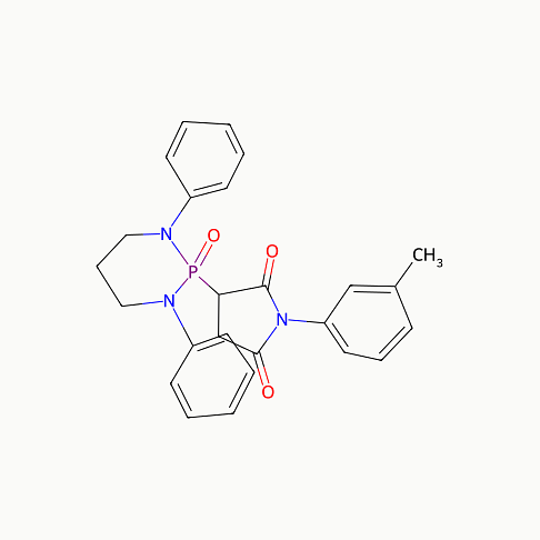 Cc1cccc(N2C(=O)CC(P3(=O)N(c4ccccc4)CCCN3c3ccccc3)C2=O)c1